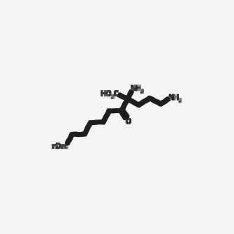 CCCCCCCCCCCCCCCC(=O)C(N)(CCCN)C(=O)O